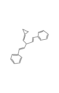 C(=CC(C=Cc1ccccc1)C=C1CC1)c1ccccc1